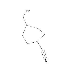 N#CC1CCC(CBr)CC1